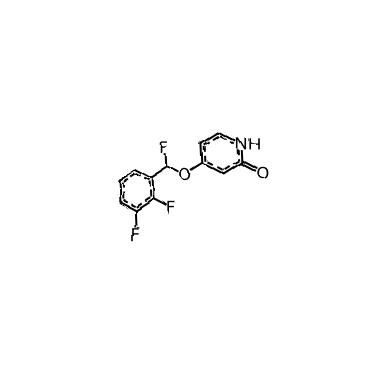 O=c1cc(OC(F)c2cccc(F)c2F)cc[nH]1